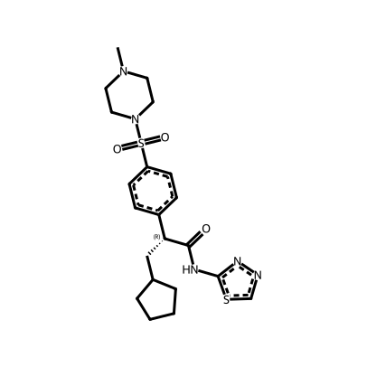 CN1CCN(S(=O)(=O)c2ccc([C@@H](CC3CCCC3)C(=O)Nc3nncs3)cc2)CC1